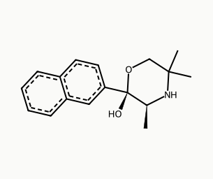 C[C@@H]1NC(C)(C)CO[C@@]1(O)c1ccc2ccccc2c1